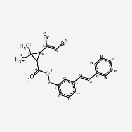 CC1(C)C(C(=O)OCc2cccc(C=Cc3ccccc3)c2)C1C(Br)=CBr